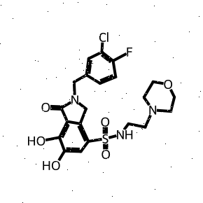 O=C1c2c(O)c(O)cc(S(=O)(=O)NCCN3CCOCC3)c2CN1Cc1ccc(F)c(Cl)c1